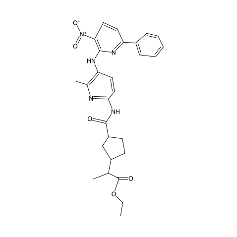 CCOC(=O)C(C)C1CCC(C(=O)Nc2ccc(Nc3nc(-c4ccccc4)ccc3[N+](=O)[O-])c(C)n2)C1